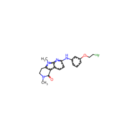 CN1CCc2c(c3ccc(Nc4cccc(OCC[18F])c4)nc3n2C)C1=O